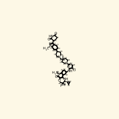 Cn1nc(C2CCC(=O)NC2=O)c2ccc(C3CCN(CC4(F)CCN(c5ncc(Cl)c(Nc6ccc7c(c6)c6c(c(=O)n7C)OCC(F)(F)[C@H](C7CC7)N6)n5)CC4)CC3)cc21